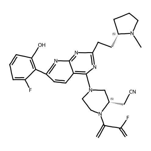 C=C(F)C(=C)N1CCN(c2nc(CC[C@@H]3CCCN3C)nc3nc(-c4c(O)cccc4F)ccc23)C[C@@H]1CC#N